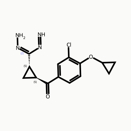 N=N/C(=N\N)[C@H]1C[C@@H]1C(=O)c1ccc(OC2CC2)c(Cl)c1